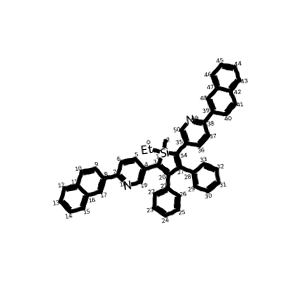 CC[Si]1(C)C(c2ccc(-c3ccc4ccccc4c3)nc2)=C(c2ccccc2)C(c2ccccc2)=C1c1ccc(-c2ccc3ccccc3c2)nc1